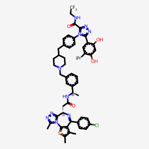 Cc1sc2c(c1C)C(c1ccc(Cl)cc1)=N[C@@H](CC(=O)N[C@H](C)c1cccc(CN3CCC(Cc4ccc(-n5c(C(=O)NCC(F)(F)F)nnc5-c5cc(C(C)C)c(O)cc5O)cc4)CC3)c1)c1nnc(C)n1-2